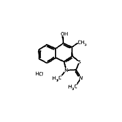 C/N=c1/sc2c(C)c(O)c3ccccc3c2n1C.Cl